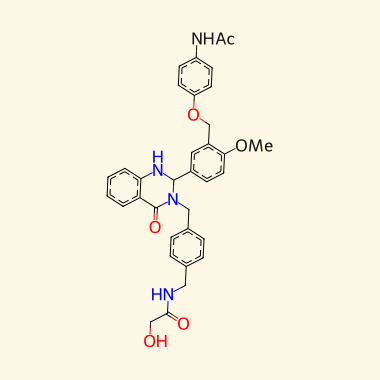 COc1ccc(C2Nc3ccccc3C(=O)N2Cc2ccc(CNC(=O)CO)cc2)cc1COc1ccc(NC(C)=O)cc1